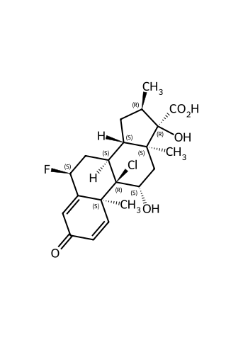 C[C@@H]1C[C@H]2[C@@H]3C[C@H](F)C4=CC(=O)C=C[C@]4(C)[C@@]3(Cl)[C@@H](O)C[C@]2(C)[C@@]1(O)C(=O)O